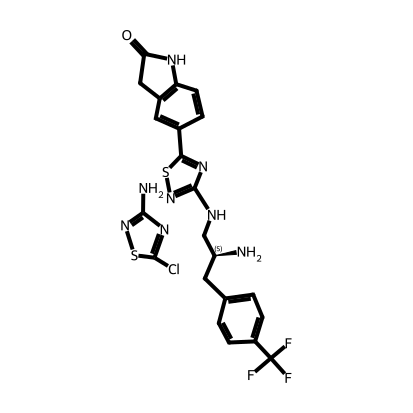 N[C@H](CNc1nsc(-c2ccc3c(c2)CC(=O)N3)n1)Cc1ccc(C(F)(F)F)cc1.Nc1nsc(Cl)n1